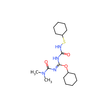 CN(C)C(=O)N=C(NC(=O)NSC1CCCCC1)OC1CCCCC1